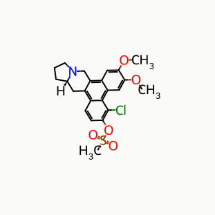 COc1cc2c3c(c4ccc(OS(C)(=O)=O)c(Cl)c4c2cc1OC)C[C@@H]1CCCN1C3